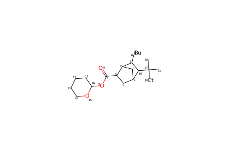 CCC(C)C1C2CC(CC2C(=O)OC2CCCCO2)C1C(C)(C)CC